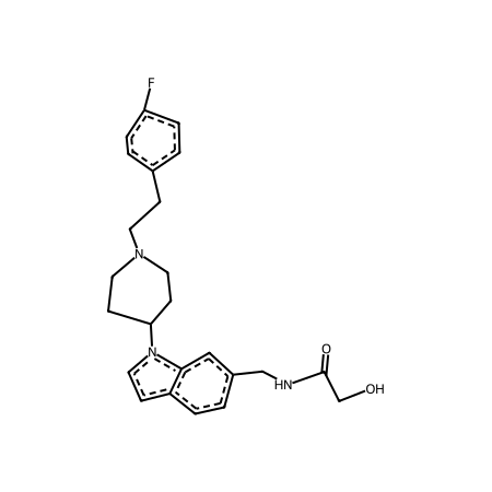 O=C(CO)NCc1ccc2ccn(C3CCN(CCc4ccc(F)cc4)CC3)c2c1